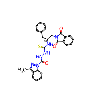 Cc1nn(C(=O)NNC(=S)N[C@@H](Cc2ccccc2)CN2C(=O)c3ccccc3C2=O)c2cc[c]cc12